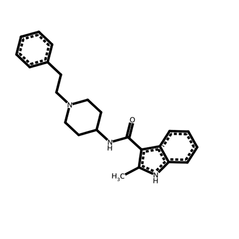 Cc1[nH]c2ccccc2c1C(=O)NC1CCN(CCc2ccccc2)CC1